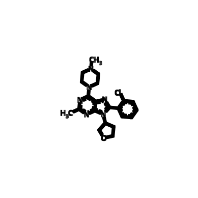 Cc1nc(N2CCN(C)CC2)c2nc(-c3ccccc3Cl)n(C3CCOC3)c2n1